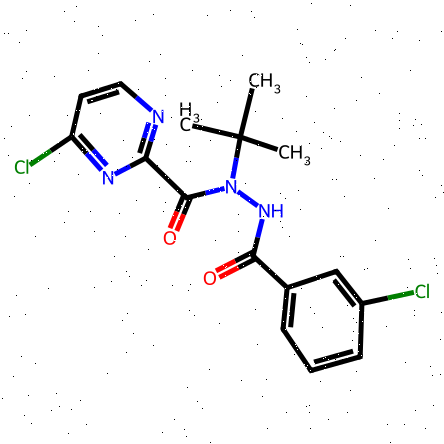 CC(C)(C)N(NC(=O)c1cccc(Cl)c1)C(=O)c1nccc(Cl)n1